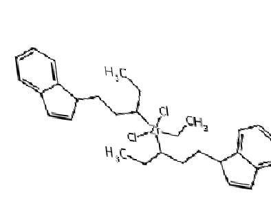 CC[CH](CCC1C=Cc2ccccc21)[Zr]([Cl])([Cl])([CH2]C)[CH](CC)CCC1C=Cc2ccccc21